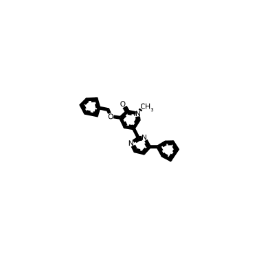 Cn1cc(-c2nccc(-c3ccccc3)n2)cc(OCc2ccccc2)c1=O